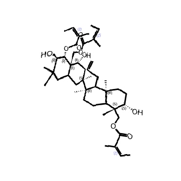 C=CCC1[C@@]2(C)CC[C@H](O)[C@](C)(COC(=O)/C(C)=C\C)C2CC[C@@]1(C)[C@@]1(C)CC2CC(C)(C)[C@@H](O)[C@H](OC(=O)/C(C)=C\C)[C@]2(COC(=O)/C(C)=C\C)[C@H](O)C1